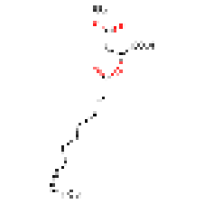 CCCCCCCC/C=C\CCCCCCCC(=O)OC(CC(=O)OC(C)(C)C)C(=O)O